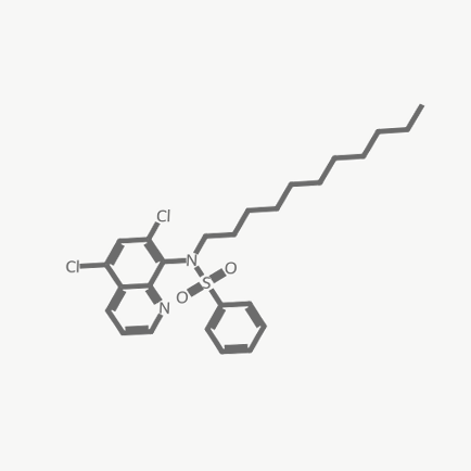 CCCCCCCCCCCN(c1c(Cl)cc(Cl)c2cccnc12)S(=O)(=O)c1ccccc1